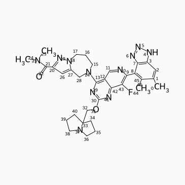 Cc1cc2[nH]nnc2c(-c2ncc3c(N4CCCn5nc(C(=O)N(C)C)cc5C4)nc(OCC45CCCN4CCC5)nc3c2F)c1C